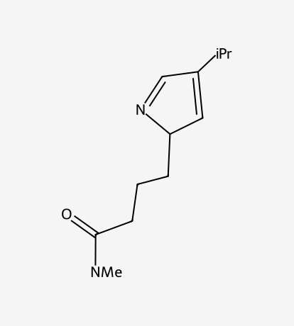 CNC(=O)CCCC1C=C(C(C)C)C=N1